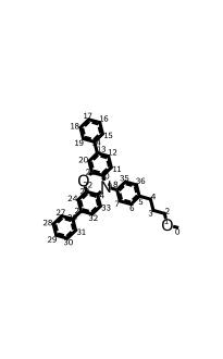 COCCCc1ccc(N2c3ccc(-c4ccccc4)cc3Oc3cc(-c4ccccc4)ccc32)cc1